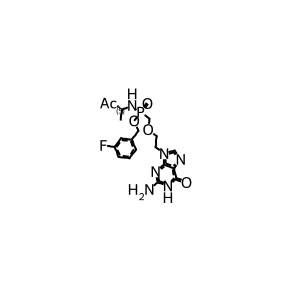 CC(=O)[C@H](C)NP(=O)(COCCn1cnc2c(=O)[nH]c(N)nc21)OCc1cccc(F)c1